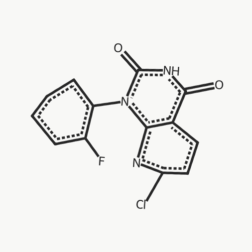 O=c1[nH]c(=O)n(-c2ccccc2F)c2nc(Cl)ccc12